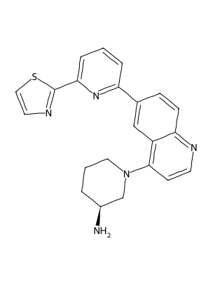 N[C@H]1CCCN(c2ccnc3ccc(-c4cccc(-c5nccs5)n4)cc23)C1